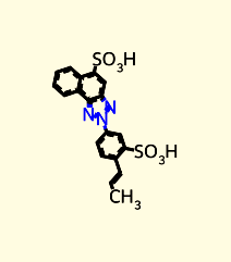 CC=Cc1ccc(-n2nc3cc(S(=O)(=O)O)c4ccccc4c3n2)cc1S(=O)(=O)O